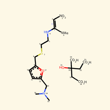 CN/C(=C\[N+](=O)[O-])NCCSCc1ccc(CN(C)C)o1.O=C(O)CC(O)(CC(=O)O)C(=O)O